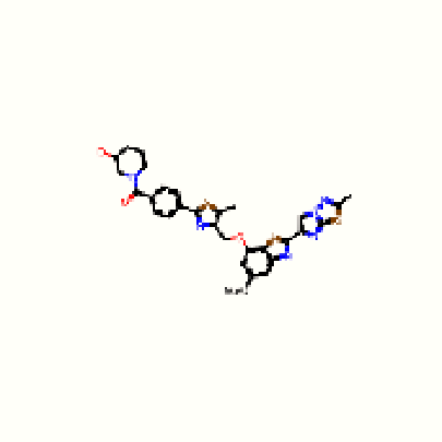 COc1cc(OCc2nc(-c3ccc(C(=O)N4CCCC(O)C4)cc3)sc2C)c2sc(-c3cn4nc(C)sc4n3)nc2c1